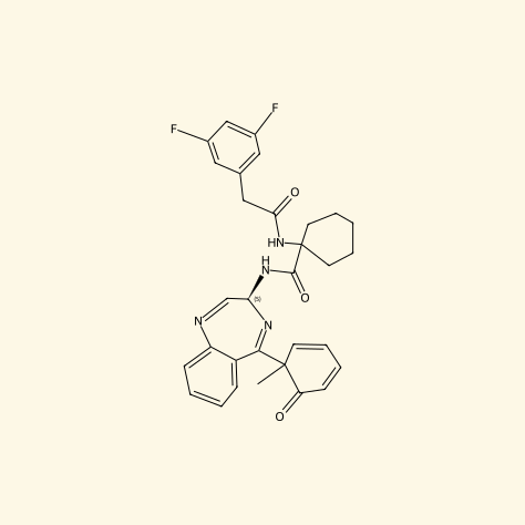 CC1(C2=N[C@H](NC(=O)C3(NC(=O)Cc4cc(F)cc(F)c4)CCCCC3)C=Nc3ccccc32)C=CC=CC1=O